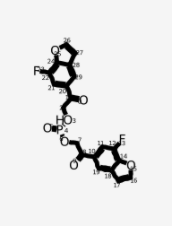 O=C(CO[PH](=O)OCC(=O)c1cc(F)c2occc2c1)c1cc(F)c2occc2c1